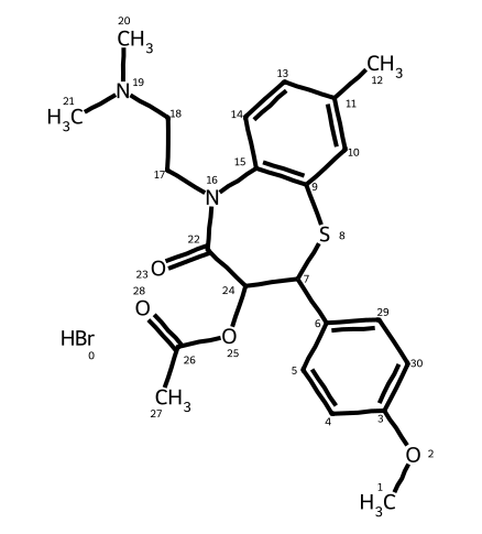 Br.COc1ccc(C2Sc3cc(C)ccc3N(CCN(C)C)C(=O)C2OC(C)=O)cc1